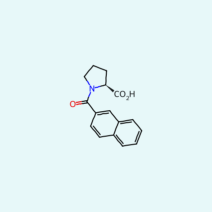 O=C(O)[C@@H]1CCCN1C(=O)c1ccc2ccccc2c1